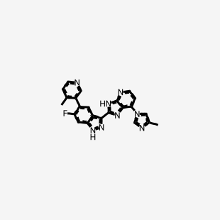 Cc1cn(-c2ccnc3[nH]c(-c4n[nH]c5cc(F)c(-c6cnccc6C)cc45)nc23)cn1